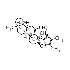 CC1=C2[C@](C)(CCC(=O)[N+]2(C)c2nc(C)c(C)s2)[C@H]2CC[C@]3(C)CCC[C@H]3[C@@H]2C1